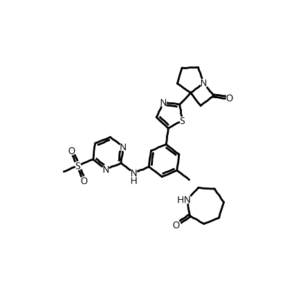 Cc1cc(Nc2nccc(S(C)(=O)=O)n2)cc(-c2cnc(C34CCCN3C(=O)C4)s2)c1.O=C1CCCCCN1